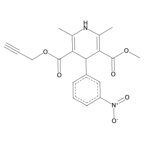 C#CCOC(=O)C1=C(C)NC(C)=C(C(=O)OC)C1c1cccc([N+](=O)[O-])c1